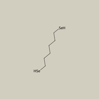 [SeH]CCCCCC[SeH]